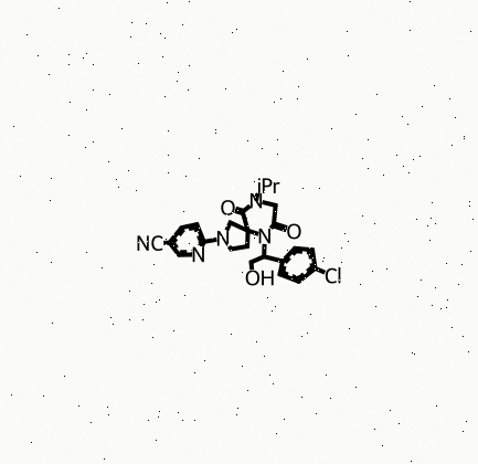 CC(C)N1CC(=O)N(C(CO)c2ccc(Cl)cc2)C2(CCN(c3ccc(C#N)cn3)C2)C1=O